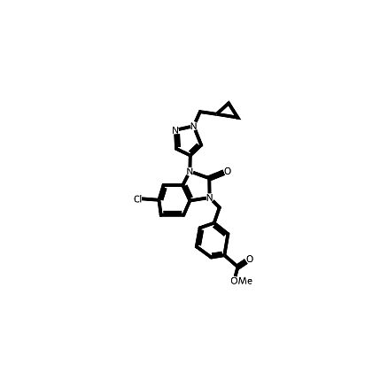 COC(=O)c1cccc(Cn2c(=O)n(-c3cnn(CC4CC4)c3)c3cc(Cl)ccc32)c1